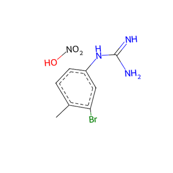 Cc1ccc(NC(=N)N)cc1Br.O=[N+]([O-])O